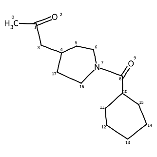 CC(=O)CC1CCN(C(=O)C2CCCCC2)CC1